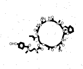 C/C=C(\C)[C@H]1OC(=O)[C@@H](C)NC(=O)[C@H]([C@H](C)CC)NC(=O)CN(C)C(=O)[C@@H](Cc2ccccc2)N(C)C(=O)[C@H](C)NC(=O)[C@@H](CC(C)C)OC(=O)/C(C)=C/C[C@H](OC(=O)N(C)CCN(C)C(=O)c2ccc(C=O)cc2)[C@@H]1C